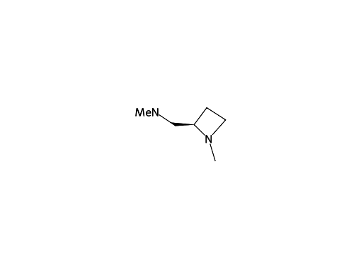 CNC[C@H]1CCN1C